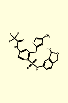 Cc1coc(Cc2cc(NC(=O)C(F)(F)F)ccc2S(=O)(=O)Nc2ccc3c(c2)B(O)OC3)n1